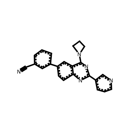 N#Cc1cccc(-c2ccc3nc(-c4cccnc4)nc(N4CCC4)c3c2)c1